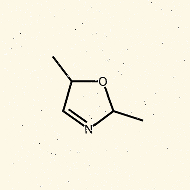 CC1C=NC(C)O1